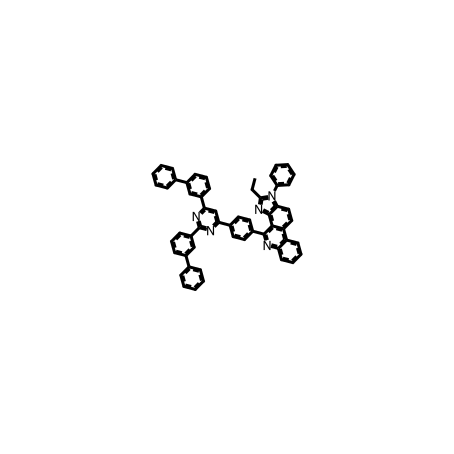 CCc1nc2c3c(-c4ccc(-c5cc(-c6cccc(-c7ccccc7)c6)nc(-c6cccc(-c7ccccc7)c6)n5)cc4)nc4ccccc4c3ccc2n1-c1ccccc1